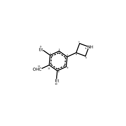 CCc1cc(C2CNC2)cc(CC)c1C=O